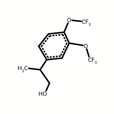 [CH2]C(CO)c1ccc(OC(F)(F)F)c(OC(F)(F)F)c1